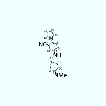 CN[C@H]1CC[C@H](CNC2=CC=C(n3cccc3)C(C#N)C2)CC1